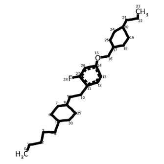 CCCCCC1CCC(CCc2ccc(OCC3CCC(CCC)CC3)cc2F)CC1